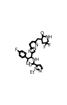 CCC(c1ccc(F)cc1)C(NC(=O)c1ccnn1CC)c1cn2nc(CC3CC(F)(F)CNC3=O)ccc2n1